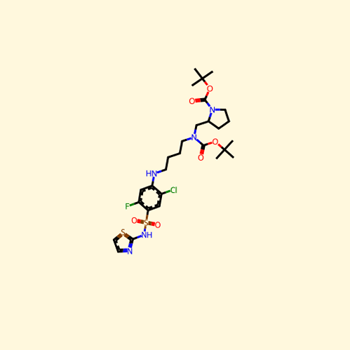 CC(C)(C)OC(=O)N(CCCCNc1cc(F)c(S(=O)(=O)Nc2nccs2)cc1Cl)CC1CCCN1C(=O)OC(C)(C)C